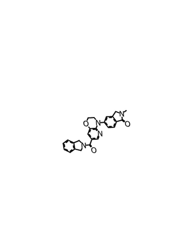 CN1Cc2cc(N3CCOc4cc(C(=O)N5Cc6ccccc6C5)cnc43)ccc2C1=O